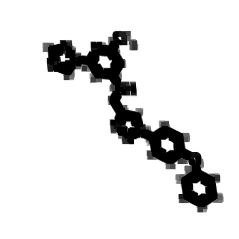 FC(F)(F)c1cc(NCc2cn(-c3ccc(Oc4ccccc4)cc3)nn2)cc(-n2cncn2)n1